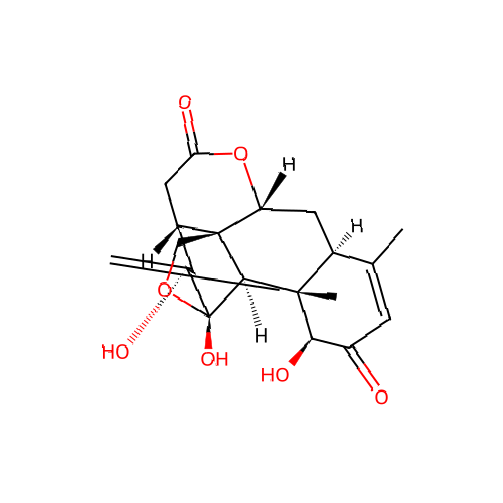 C=C1[C@@H](O)[C@@]2(O)OC[C@]34[C@H]2[C@@]2(C)[C@H](O)C(=O)C=C(C)[C@@H]2C[C@H]3OC(=O)C[C@@H]14